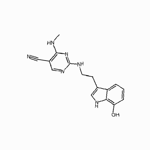 CNc1nc(NCCc2c[nH]c3c(O)cccc23)ncc1C#N